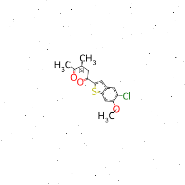 COc1cc2sc(C(=O)C[C@H](C)C(C)=O)cc2cc1Cl